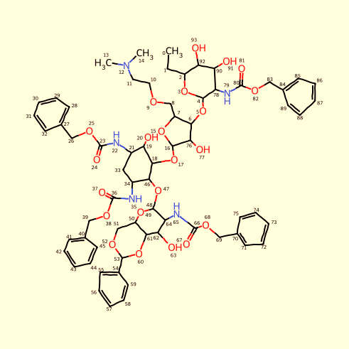 CCC1OC(OC2C(COCCN(C)C)OC(OC3C(O)C(NC(=O)OCc4ccccc4)CC(NC(=O)OCc4ccccc4)C3OC3OC4COC(c5ccccc5)OC4C(O)C3NC(=O)OCc3ccccc3)C2O)C(NC(=O)OCc2ccccc2)C(O)C1O